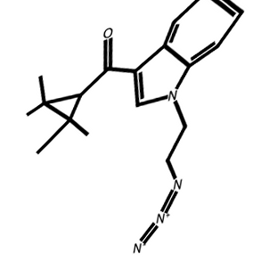 CC1(C)C(C(=O)c2cn(CCN=[N+]=[N-])c3ccccc23)C1(C)C